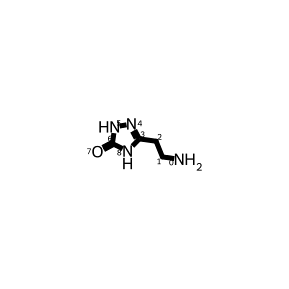 NCCc1n[nH]c(=O)[nH]1